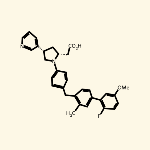 COc1ccc(F)c(-c2ccc(Cc3ccc(N4C[C@H](c5cccnc5)C[C@@H]4CC(=O)O)cc3)c(C)c2)c1